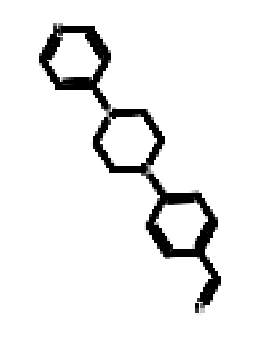 O=Cc1ccc(N2CCN(c3ccncc3)CC2)cc1